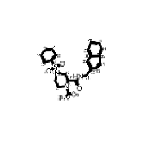 CC(C)C(=O)N1CCN(S(=O)(=O)c2ccccc2)CC1C(=O)NCc1ccc2ccccc2c1